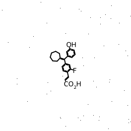 O=C(O)C=Cc1ccc(C(=C2CCCCCC2)c2cccc(O)c2)cc1F